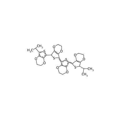 CC(C)c1sc(C2S/C(=c3/s/c(=C4/SC(C(C)C)C5=C4OCCO5)c4c3OCCO4)C3=C2OCCO3)c2c1OCCO2